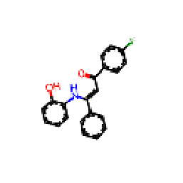 O=C(/C=C(\Nc1ccccc1O)c1ccccc1)c1ccc(F)cc1